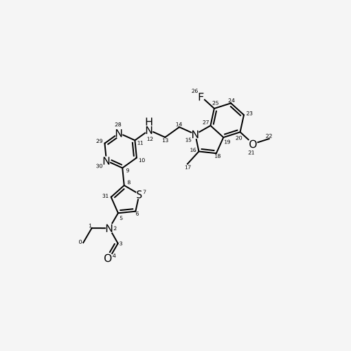 CCN(C=O)c1csc(-c2cc(NCCn3c(C)cc4c(OC)ccc(F)c43)ncn2)c1